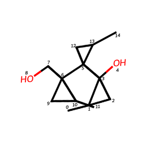 CC1CC1(O)C1(C2(CO)CC2C)CC1C